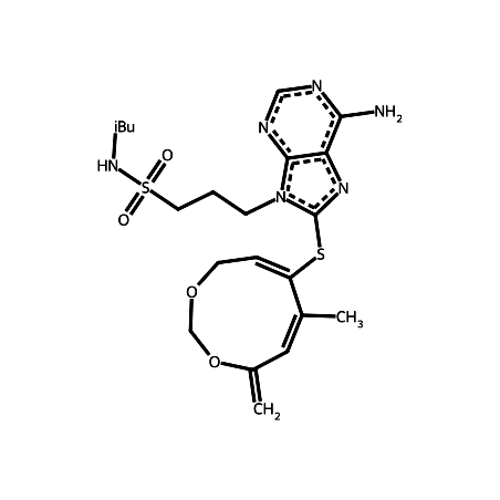 C=C1/C=C(C)\C(Sc2nc3c(N)ncnc3n2CCCS(=O)(=O)NC(C)CC)=C/COCO1